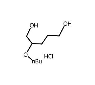 CCCCOC(CO)CCCO.Cl